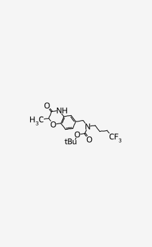 CC1Oc2ccc(CN(CCCC(F)(F)F)C(=O)OC(C)(C)C)cc2NC1=O